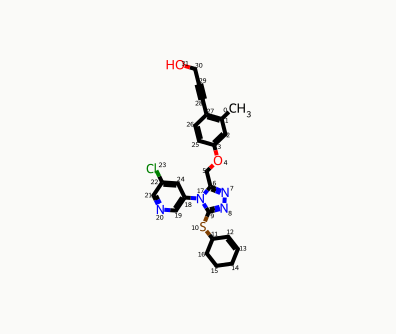 Cc1cc(OCc2nnc(SC3C=CCCC3)n2-c2cncc(Cl)c2)ccc1C#CCO